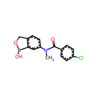 CN(C(=O)c1ccc(Cl)cc1)c1ccc2c(c1)B(O)OC2